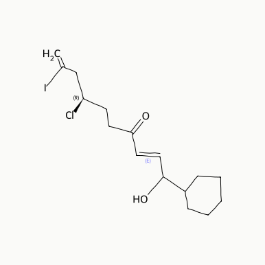 C=C(I)C[C@H](Cl)CCC(=O)/C=C/C(O)C1CCCCC1